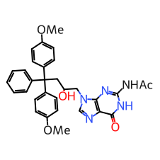 COc1ccc(C(C[C@H](O)Cn2cnc3c(=O)[nH]c(NC(C)=O)nc32)(c2ccccc2)c2ccc(OC)cc2)cc1